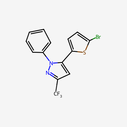 FC(F)(F)c1cc(-c2ccc(Br)s2)n(-c2ccccc2)n1